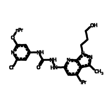 CCCOc1cc(NC(=O)NNc2cc(C(C)C)c3c(C)nn(CCCO)c3n2)cc(Cl)n1